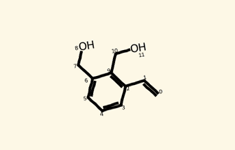 C=Cc1cccc(CO)c1CO